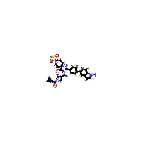 CS(=O)(=O)N1CCC2(CC1)N=C(c1ccc(-c3ccc4[nH]ccc4c3)cc1)N(CC1CN(C(=O)C3CC3)C1)C2=O